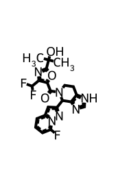 CC(C)(O)c1nc(C(F)F)c(C(=O)N2CCc3[nH]cnc3C2c2cc3cccc(F)n3n2)o1